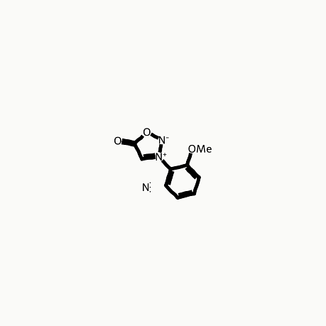 COc1ccccc1-[n+]1cc(=O)o[n-]1.[N]